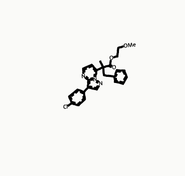 COCCOC(=O)C(C)(Cc1ccccc1)c1ccnc2c(-c3ccc(Cl)cc3)cnn12